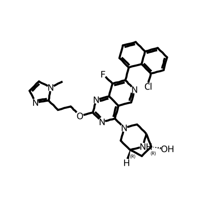 Cn1ccnc1CCOc1nc(N2CC3N[C@H](C[C@H]3O)C2)c2cnc(-c3cccc4cccc(Cl)c34)c(F)c2n1